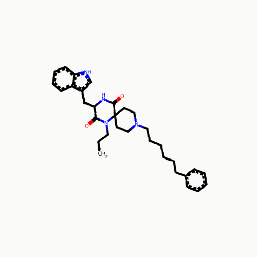 CCCN1C(=O)C(Cc2c[nH]c3ccccc23)NC(=O)C12CCN(CCCCCCc1ccccc1)CC2